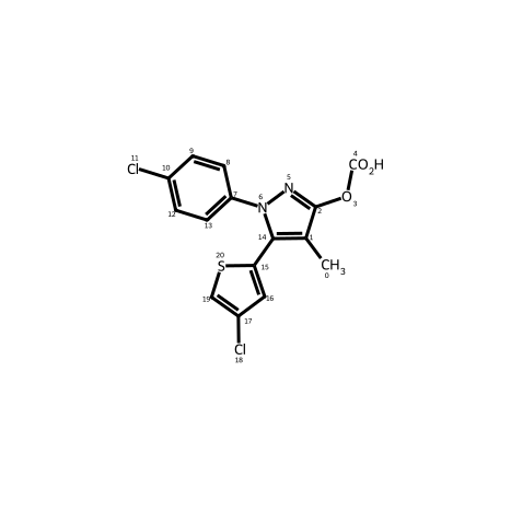 Cc1c(OC(=O)O)nn(-c2ccc(Cl)cc2)c1-c1cc(Cl)cs1